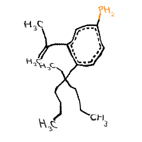 C=C(C)c1cc(P)ccc1C(C)(CCC)CCC